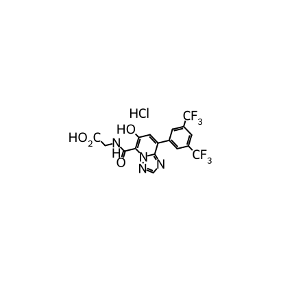 Cl.O=C(O)CNC(=O)c1c(O)cc(-c2cc(C(F)(F)F)cc(C(F)(F)F)c2)c2ncnn12